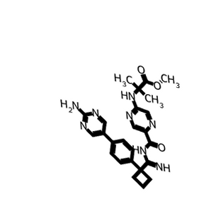 COC(=O)C(C)(C)Nc1cnc(C(=O)NC(=N)C2(c3ccc(-c4cnc(N)nc4)cc3)CCC2)cn1